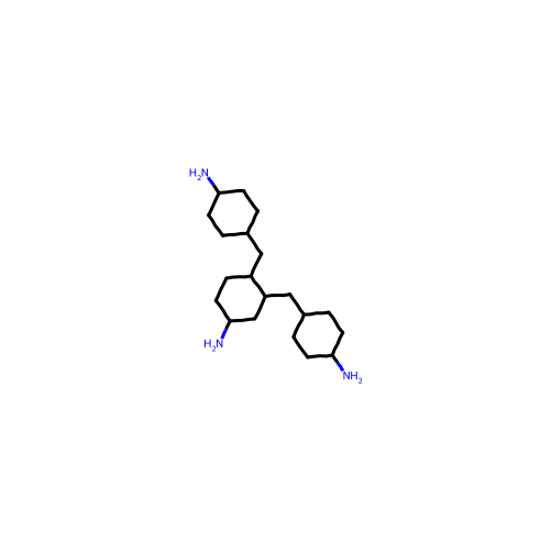 NC1CCC(CC2CCC(N)CC2CC2CCC(N)CC2)CC1